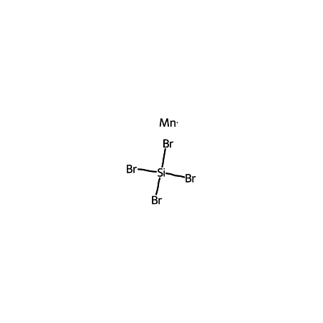 Br[Si](Br)(Br)Br.[Mn]